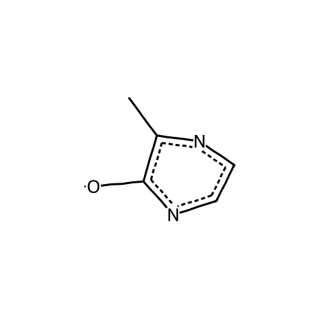 Cc1nccnc1[O]